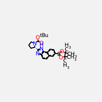 CC(C)(C)OC(=O)N1CCC[C@H]1c1nc2ccc3cc(B4OC(C)(C)C(C)(C)O4)ccc3c2[nH]1